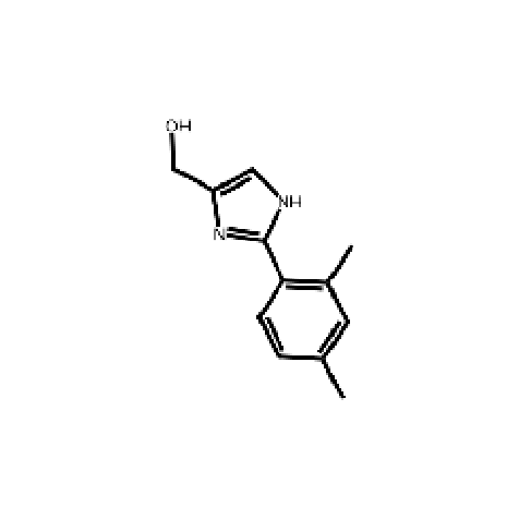 Cc1ccc(-c2nc(CO)c[nH]2)c(C)c1